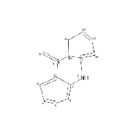 C=S1c2ccccc2Nc2ccccc21